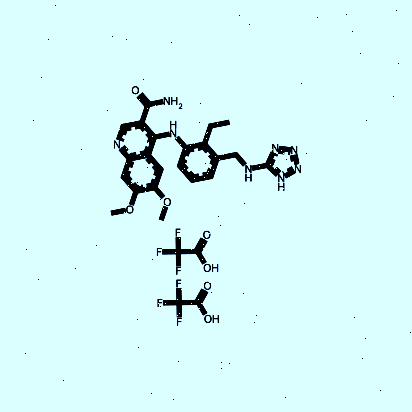 CCc1c(CNc2nnn[nH]2)cccc1Nc1c(C(N)=O)cnc2cc(OC)c(OC)cc12.O=C(O)C(F)(F)F.O=C(O)C(F)(F)F